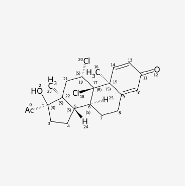 CC(=O)[C@@]1(O)CC[C@H]2[C@@H]3CCC4=CC(=O)C=C[C@]4(C)[C@@]3(Cl)[C@@H](Cl)C[C@@]21C